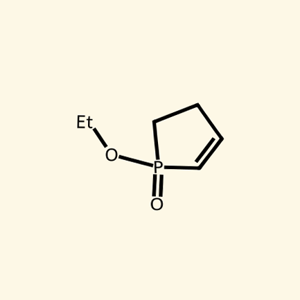 CCOP1(=O)C=CCC1